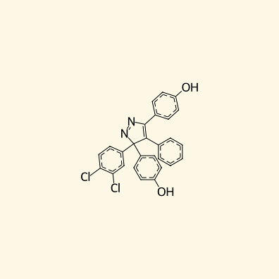 Oc1ccc(C2=C(c3ccccc3)C(c3ccc(O)cc3)(c3ccc(Cl)c(Cl)c3)N=N2)cc1